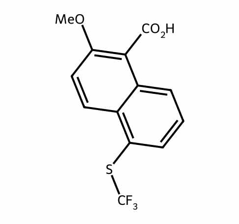 COc1ccc2c(SC(F)(F)F)cccc2c1C(=O)O